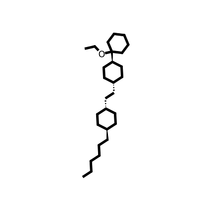 CCCCCC[C@H]1CC[C@H](CC[C@H]2CC[C@H](C3(OCC)CCCCC3)CC2)CC1